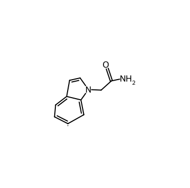 NC(=O)Cn1ccc2cc[c]cc21